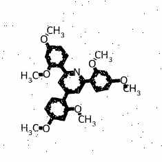 COc1ccc(-c2cc(-c3ccc(OC)cc3OC)nc(-c3ccc(OC)cc3OC)c2)c(OC)c1